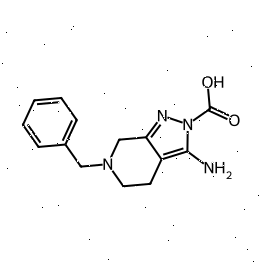 Nc1c2c(nn1C(=O)O)CN(Cc1ccccc1)CC2